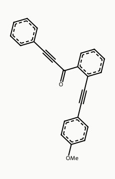 COc1ccc(C#Cc2ccccc2C(=O)C#Cc2ccccc2)cc1